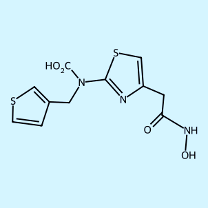 O=C(Cc1csc(N(Cc2ccsc2)C(=O)O)n1)NO